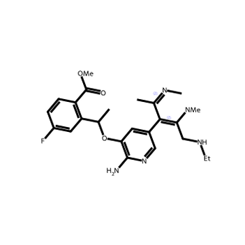 CCNC/C(NC)=C(/C(C)=N\C)c1cnc(N)c(OC(C)c2cc(F)ccc2C(=O)OC)c1